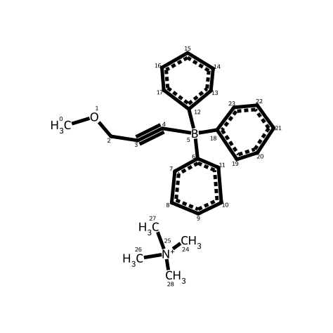 COCC#C[B-](c1ccccc1)(c1ccccc1)c1ccccc1.C[N+](C)(C)C